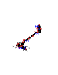 COc1ccc(S(=O)(=O)Nc2cc3c(cc2Oc2ccc(OCC(=O)NCCCOCCOCCOCCCNC(=O)COc4cccc5c4C(=O)N(C4CCC(=O)NC4=O)C5=O)cc2)n(C)c(=O)n3C)cc1OC